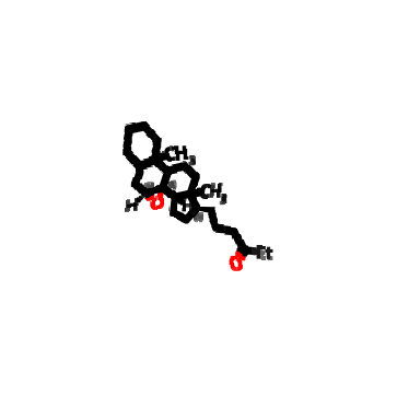 CCC(=O)CCC[C@H]1CC[C@H]2C1(C)CCC1C3(C)CCCCC3C[C@@H]3O[C@]132